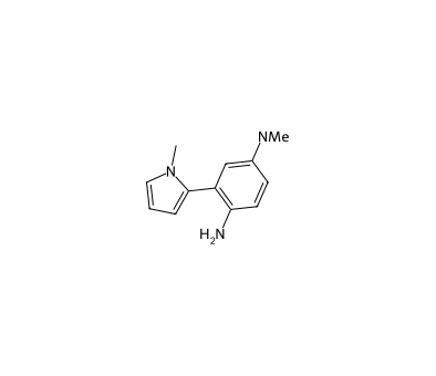 CNc1ccc(N)c(-c2cccn2C)c1